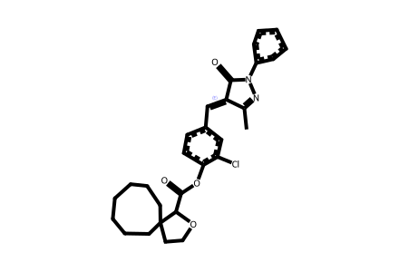 CC1=NN(c2ccccc2)C(=O)/C1=C/c1ccc(OC(=O)C2OCCC23CCCCCCC3)c(Cl)c1